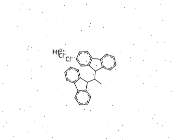 CC(C1c2ccccc2-c2ccccc21)C1c2ccccc2-c2ccccc21.[Cl-].[Cl-].[Hf+2]